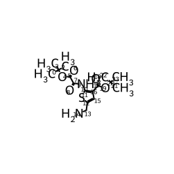 CC(C)(C)OC(=O)C(=O)Nc1sc(CN)cc1C(=O)OC(C)(C)C